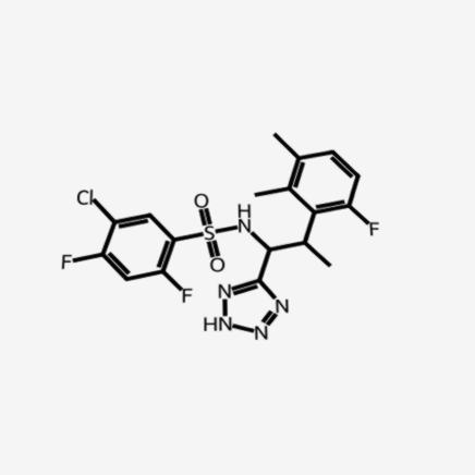 Cc1ccc(F)c(C(C)C(NS(=O)(=O)c2cc(Cl)c(F)cc2F)c2nn[nH]n2)c1C